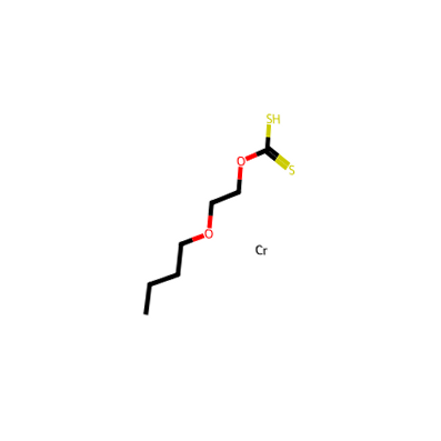 CCCCOCCOC(=S)S.[Cr]